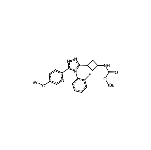 CC(C)Oc1ccc(-c2nnc(C3CC(NC(=O)OC(C)(C)C)C3)n2-c2ccccc2F)nc1